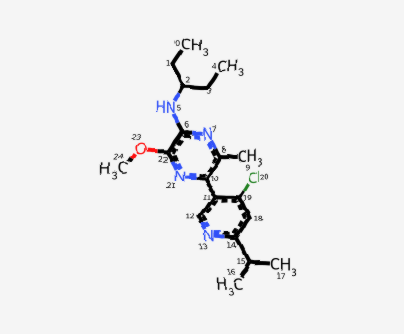 CCC(CC)Nc1nc(C)c(-c2cnc(C(C)C)cc2Cl)nc1OC